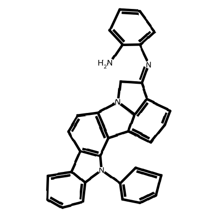 Nc1ccccc1/N=C1\Cn2c3ccc4c5ccccc5n(-c5ccccc5)c4c3c3cccc1c32